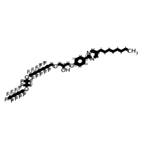 CCCCCCCCc1cnc(-c2ccc(OCC(O)COCC(F)(F)C(F)(F)C(F)(F)C(F)(F)C(F)(F)OC(F)(F)C(F)(F)OC(F)(F)C(F)(F)C(F)(F)C(F)(F)F)cc2)nc1